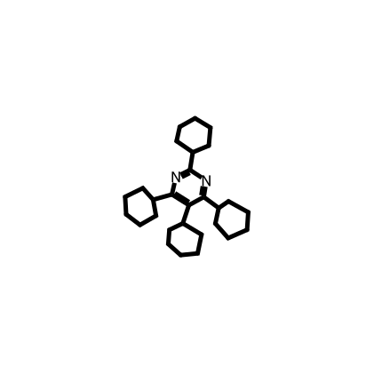 C1CCC(c2nc(C3CCCCC3)c(C3CCCCC3)c(C3CCCCC3)n2)CC1